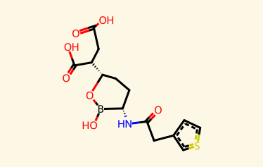 O=C(O)CC(C(=O)O)[C@@H]1CC[C@H](NC(=O)Cc2ccsc2)B(O)O1